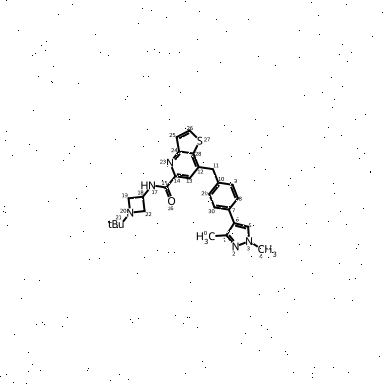 Cc1nn(C)cc1-c1ccc(Cc2cc(C(=O)NC3CN(C(C)(C)C)C3)nc3ccsc23)cc1